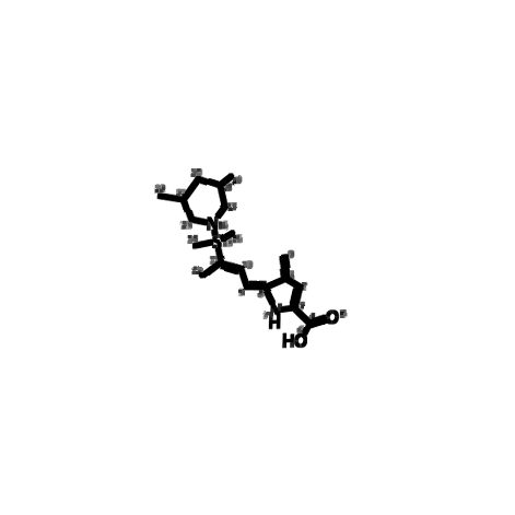 C=c1cc(C(=O)O)[nH]/c1=C/C=C(\C)S(C)(C)N1CC(C)CC(C)C1